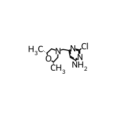 C[C@@H]1CN(Cc2cc(N)nc(Cl)n2)C[C@H](C)O1